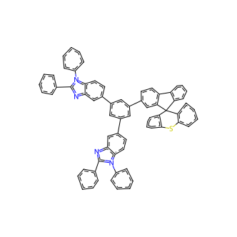 c1ccc(-c2nc3cc(-c4cc(-c5ccc6c(c5)C5(c7ccccc7Sc7ccccc75)c5ccccc5-6)cc(-c5ccc6c(c5)nc(-c5ccccc5)n6-c5ccccc5)c4)ccc3n2-c2ccccc2)cc1